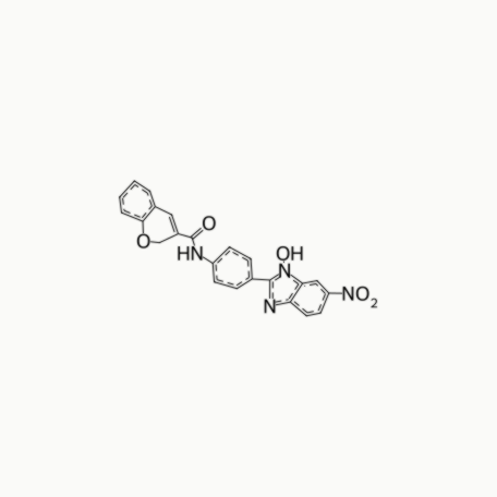 O=C(Nc1ccc(-c2nc3ccc([N+](=O)[O-])cc3n2O)cc1)C1=Cc2ccccc2OC1